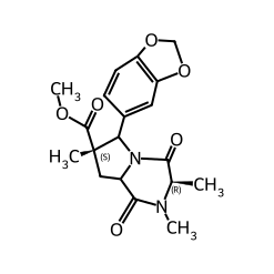 COC(=O)[C@@]1(C)CC2C(=O)N(C)[C@H](C)C(=O)N2C1c1ccc2c(c1)OCO2